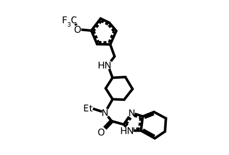 CCN(C(=O)c1nc2c([nH]1)=CCCC=2)C1CCCC(NCc2cccc(OC(F)(F)F)c2)C1